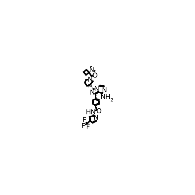 CN(C)C1(C(=O)N2CCC[C@@H](c3nc(-c4ccc(C(=O)Nc5cc(C(F)(F)F)ccn5)cc4)c4c(N)nccn34)C2)CCC1